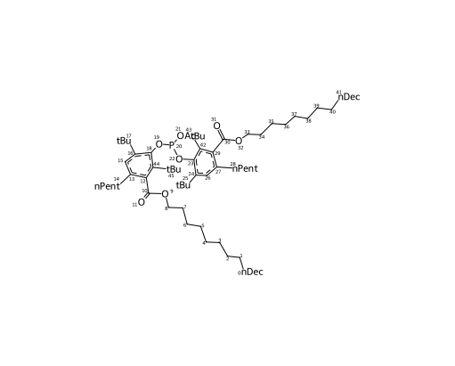 CCCCCCCCCCCCCCCCCCOC(=O)c1c(CCCCC)cc(C(C)(C)C)c(OP(OC(C)=O)Oc2c(C(C)(C)C)cc(CCCCC)c(C(=O)OCCCCCCCCCCCCCCCCCC)c2C(C)(C)C)c1C(C)(C)C